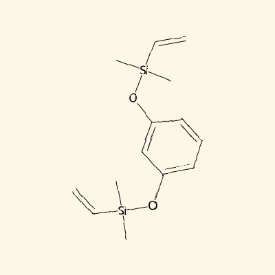 C=C[Si](C)(C)Oc1cccc(O[Si](C)(C)C=C)c1